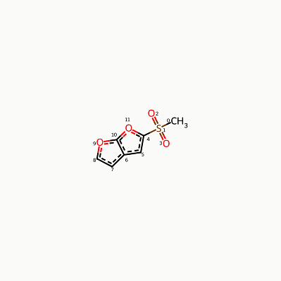 CS(=O)(=O)c1cc2ccoc2o1